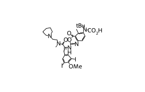 COc1c(I)cc(C[C@H](Nc2nc3ccc(N(C(=O)O)C(C)(C)C)c(C)c3c(=O)o2)C(=O)N(C)CCN2CCCCC2)cc1I